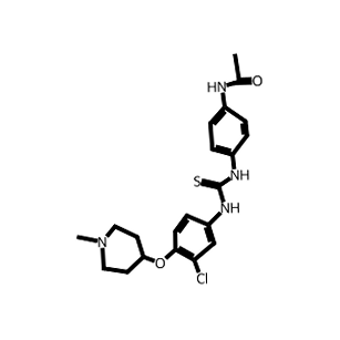 CC(=O)Nc1ccc(NC(=S)Nc2ccc(OC3CCN(C)CC3)c(Cl)c2)cc1